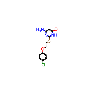 Nc1cc(=O)[nH]c(SCCOc2ccc(Cl)cc2)n1